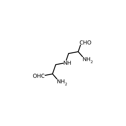 NC(C=O)CNCC(N)C=O